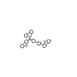 CC1(C)c2ccccc2-c2ccc(N(c3ccc(-c4ccc(-c5cccc6c5sc5ccccc56)cc4)cc3)c3cc4ccccc4c4ccccc34)cc21